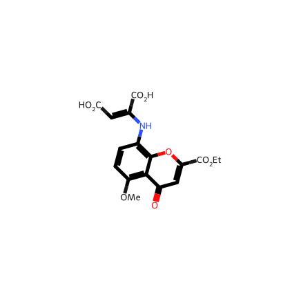 CCOC(=O)c1cc(=O)c2c(OC)ccc(NC(=CC(=O)O)C(=O)O)c2o1